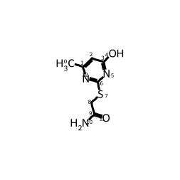 Cc1cc(O)nc(SCC(N)=O)n1